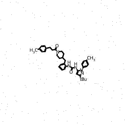 Cc1ccc(CCC(=O)N2CCC(Cc3ccccc3NC(=O)Nc3cc(C(C)(C)C)nn3-c3ccc(C)cc3)CC2)cc1